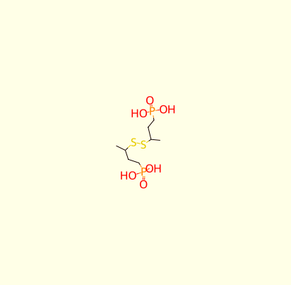 CC(CCP(=O)(O)O)SSC(C)CCP(=O)(O)O